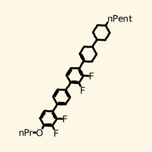 CCCCCC1CCC(C2CC=C(c3ccc(-c4ccc(-c5ccc(OCCC)c(F)c5F)cc4)c(F)c3F)CC2)CC1